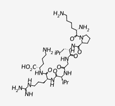 CC(C)C[C@H](NC(=O)[C@@H]1CCCN1C(=O)[C@@H](N)CCCCN)C(=O)NCC(=O)N[C@H](C(=O)N[C@@H](CCCNC(=N)N)C(=O)N[C@@H](CCCN)C(=O)O)C(C)C